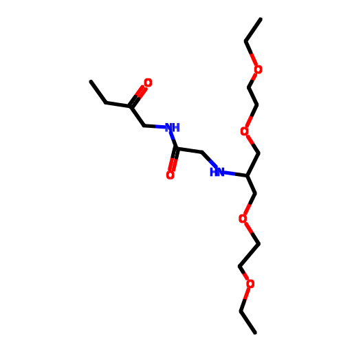 CCOCCOCC(COCCOCC)NCC(=O)NCC(=O)CC